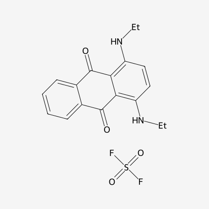 CCNc1ccc(NCC)c2c1C(=O)c1ccccc1C2=O.O=S(=O)(F)F